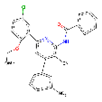 COCOc1ccc(Cl)cc1-c1cc(-c2cccc([N+](=O)[O-])c2)c(C#N)c(NC(=O)c2ccccc2)n1